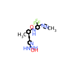 Cc1ccc(C(=O)Nc2ccc(CN3CCN(C)CC3)c(C(F)(F)F)c2)cc1C#Cc1ccc(C(=N)NO)nc1